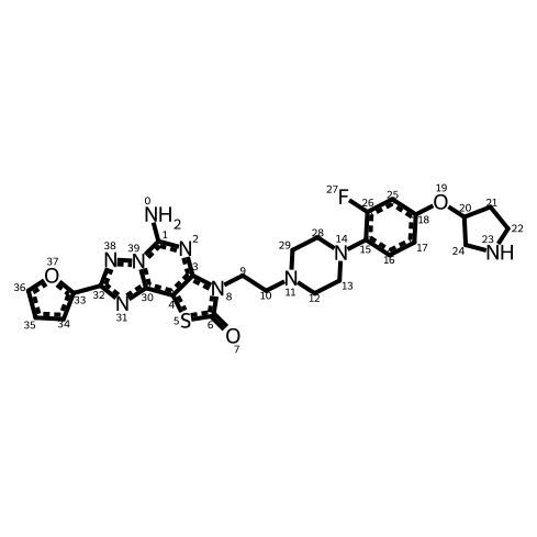 Nc1nc2c(sc(=O)n2CCN2CCN(c3ccc(OC4CCNC4)cc3F)CC2)c2nc(-c3ccco3)nn12